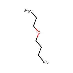 CNCCOCCCC(C)(C)C